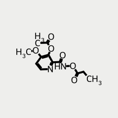 CCC(=O)ONC(=O)c1nccc(OC)c1OC(C)=O